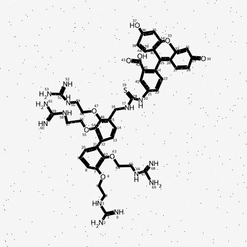 N=C(N)NCCOc1cccc(-c2ccc(CNC(=S)Nc3ccc(-c4c5ccc(=O)cc-5oc5cc(O)ccc45)c(C(=O)O)c3)c(OCCNC(=N)N)c2OCCNC(=N)N)c1OCCNC(=N)N